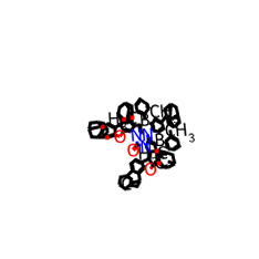 Cc1cccc(C)c1B1c2cc(C34CC5CC(CC(C5)C3)C4)cc3c2-n2c4c1c1c5c(c6c7cc8c(cc7oc6c1n4c(=O)n1c4c(c6c(c7oc9c%10c(ccc9c74)C4CC7CC(C4)CC%10C7)C4CC7CC(C4)CC6C7)c(c21)B3c1c(C)cccc1C)C1CC2CC(C1)CC8C2)C1CC2CC(CC5C2)C1